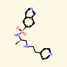 C[C@H](CNCCc1ccncc1)NS(=O)(=O)c1ccc2cnccc2c1